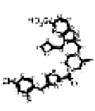 CC1CN(C(=O)c2nc(Cc3ccc(Cl)cc3F)cs2)CCN1Cc1nc2ccc(C(=O)O)nc2n1CC1CCO1